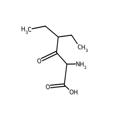 CCC(CC)C(=O)C(N)C(=O)O